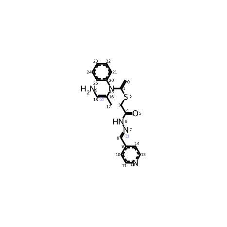 C=C(SCC(=O)N/N=C/c1ccncc1)N(/C(C)=C\N)c1ccccc1